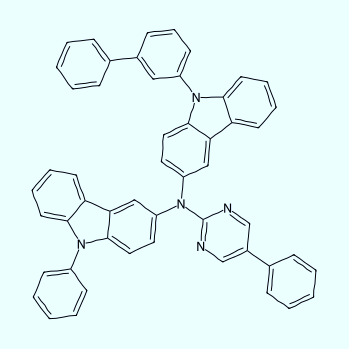 c1ccc(-c2cnc(N(c3ccc4c(c3)c3ccccc3n4-c3ccccc3)c3ccc4c(c3)c3ccccc3n4-c3cccc(-c4ccccc4)c3)nc2)cc1